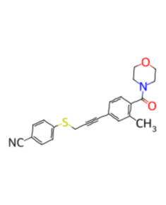 Cc1cc(C#CCSc2ccc(C#N)cc2)ccc1C(=O)N1CCOCC1